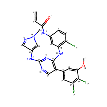 C=CC(=O)Nc1ccc(F)c(Nc2nc(Nc3cnn(C)c3)ncc2-c2cc(F)c(F)c(OC)c2)c1